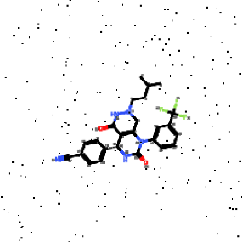 CC(C)CCN1CC2=C(C(=O)N1)[C@@H](c1ccc(C#N)cc1)NC(=O)N2c1cccc(C(F)(F)F)c1